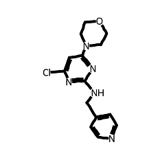 Clc1cc(N2CCOCC2)nc(NCc2ccncc2)n1